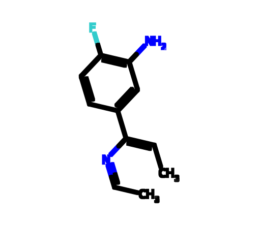 C/C=N\C(=C/C)c1ccc(F)c(N)c1